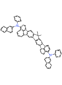 CC1(C)c2cc3c(cc2-c2cc4c(cc21)-c1ccc(N(c2ccccc2)c2ccc5ccccc5c2)c2cccc-4c12)-c1cccc2c(N(c4ccccc4)c4ccc5ccccc5c4)ccc-3c12